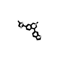 Cc1cnc(-c2ccc3c(c2)CN(C)CC3c2ccc3ccsc3c2)s1